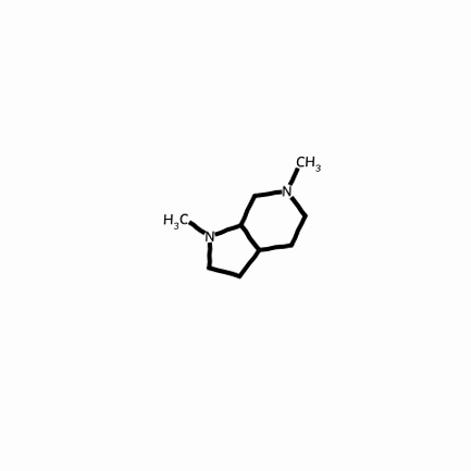 CN1CCC2CCN(C)C2C1